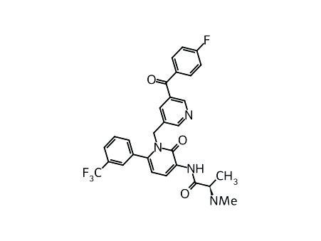 CN[C@H](C)C(=O)Nc1ccc(-c2cccc(C(F)(F)F)c2)n(Cc2cncc(C(=O)c3ccc(F)cc3)c2)c1=O